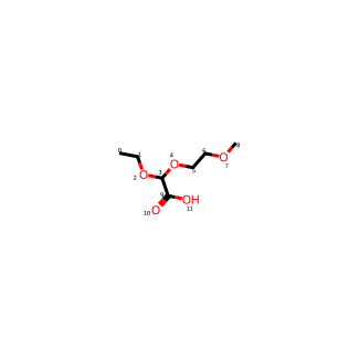 CCOC(OCCOC)C(=O)O